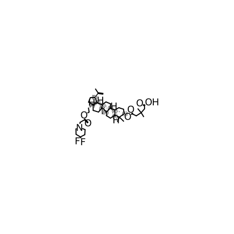 C=C(C)[C@@H]1CC[C@]2(CCOC(=O)CN3CCC(F)(F)CC3)CC[C@]3(C)[C@H](CC[C@@H]4[C@@]5(C)CC[C@H](OC(=O)CC(C)(C)CC(=O)O)C(C)(C)[C@@H]5CC[C@]43C)[C@@H]12